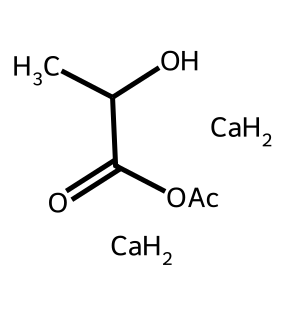 CC(=O)OC(=O)C(C)O.[CaH2].[CaH2]